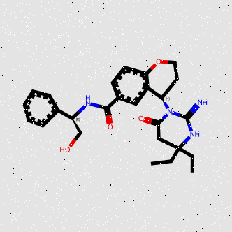 CCC1(CC)CC(=O)N([C@@H]2CCOc3ccc(C(=O)N[C@@H](CO)c4ccccc4)cc32)C(=N)N1